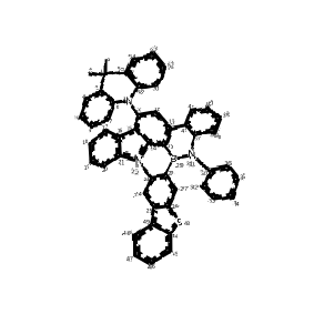 CC1(C)c2ccccc2N(c2cc3c4c5c2c2ccccc2n5-c2cc5c(cc2B4N(c2ccccc2)c2ccccc2-3)sc2ccccc25)c2ccccc21